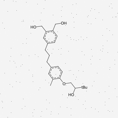 Cc1cc(CCCc2ccc(CO)c(CO)c2)ccc1OCC(O)C(C)(C)C